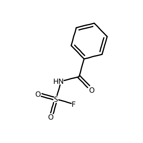 O=C(NS(=O)(=O)F)c1ccccc1